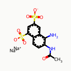 CC(=O)Nc1ccc2c(S(=O)(=O)[O-])cc(S(=O)(=O)[O-])cc2c1N.[Na+].[Na+]